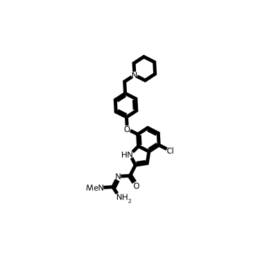 CNC(N)=NC(=O)c1cc2c(Cl)ccc(Oc3ccc(CN4CCCCC4)cc3)c2[nH]1